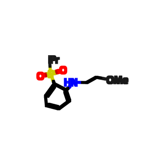 COCCNc1ccccc1S(=O)(=O)C(C)C